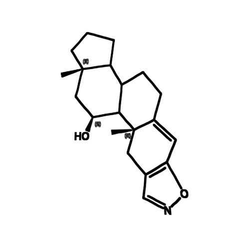 C[C@@]12CCCC1C1CCC3=Cc4oncc4C[C@]3(C)C1[C@@H](O)C2